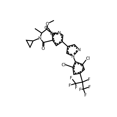 COC(OC)C(C)N(C(=O)c1cc(-c2cnn(-c3c(Cl)cc(C(F)(C(F)(F)F)C(F)(F)F)cc3Cl)c2)cnc1Cl)C1CC1